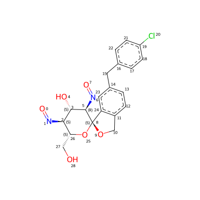 O=N[C@H]1[C@H](O)[C@@H](N=O)[C@@]2(OCc3ccc(Cc4ccc(Cl)cc4)cc32)O[C@@H]1CO